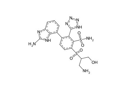 NCC(CO)S(=O)(=O)c1ccc(-c2cccc3nc(N)[nH]c23)c(-c2nnn[nH]2)c1S(N)(=O)=O